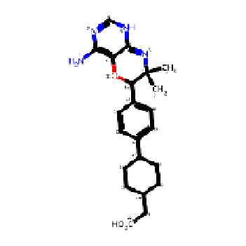 CC1(C)N=C2NC=NC(N)=C2OC1c1ccc(C2CCC(CC(=O)O)CC2)cc1